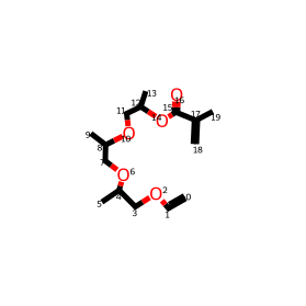 C=COCC(C)OCC(C)OCC(C)OC(=O)C(=C)C